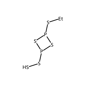 CCSP1SP(SS)S1